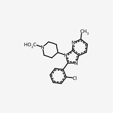 Cc1ccc2nc(-c3ccccc3Cl)n(C3CCN(C(=O)O)CC3)c2n1